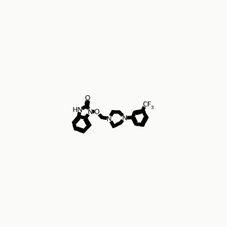 O=c1[nH]c2ccccc2n1OCN1CCN(c2cccc(C(F)(F)F)c2)CC1